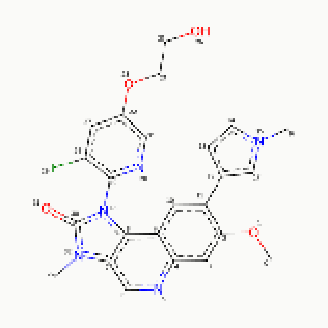 COc1cc2ncc3c(c2cc1-c1ccn(C)c1)n(-c1ncc(OCCO)cc1F)c(=O)n3C